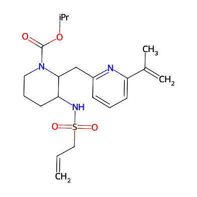 C=CCS(=O)(=O)NC1CCCN(C(=O)OC(C)C)C1Cc1cccc(C(=C)C)n1